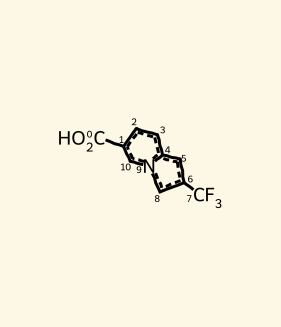 O=C(O)c1ccc2cc(C(F)(F)F)cn2c1